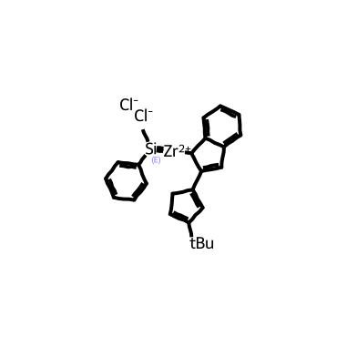 C/[Si](=[Zr+2]\[CH]1C(C2=CC(C(C)(C)C)=CC2)=Cc2ccccc21)c1ccccc1.[Cl-].[Cl-]